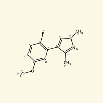 COc1ncc(F)c(-c2cn(C)nc2C)n1